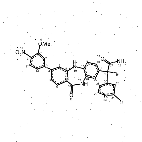 COc1cc(-c2ccc3c(c2)Nc2ccc(C(C)(C(N)=O)c4ccnc(C)c4)cc2NC3=O)ccc1[N+](=O)[O-]